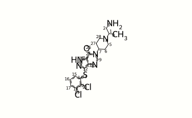 CC(CN)N1CCC(n2cnc3c(Sc4cccc(Cl)c4Cl)n[nH]c3c2=O)CC1